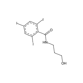 O=C(NCCCO)c1c(I)cc(I)cc1I